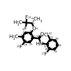 Cc1cc(O[C@@H](C)C(C)(F)F)c(C(=O)Nc2c(F)cccc2Cl)cc1F